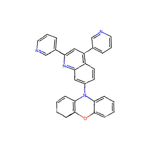 C1=CC2=C(CC1)Oc1ccccc1N2c1ccc2c(-c3cccnc3)cc(-c3cccnc3)nc2c1